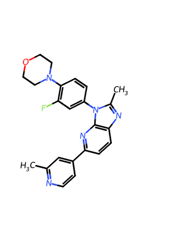 Cc1cc(-c2ccc3nc(C)n(-c4ccc(N5CCOCC5)c(F)c4)c3n2)ccn1